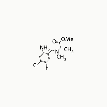 COC(=O)[C@H](C)N(C)Cc1cc(F)c(Cl)cc1N